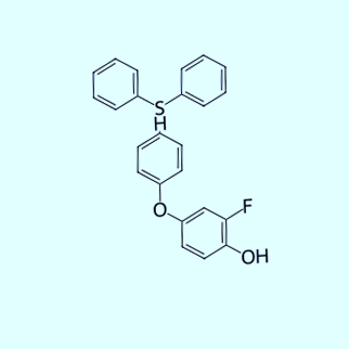 Oc1ccc(Oc2ccc([SH](c3ccccc3)c3ccccc3)cc2)cc1F